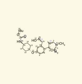 C=C(/N=C\N(C)C)c1ccc(O[C@H]2CC[C@H](NC(=O)OC(C)(C)C)CC2)cc1/C=N\O